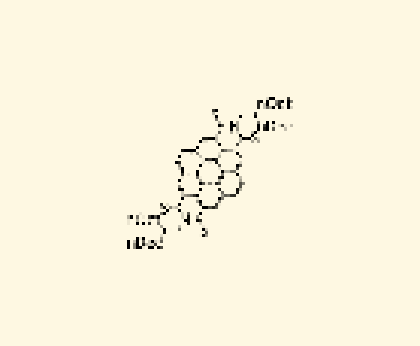 CCCCCCCCCCC(CCCCCCCC)Cn1c(=S)c2cc3ccc4cc5c(=S)n(CC(CCCCCCCC)CCCCCCCCCC)c(=S)c6cc7ccc8cc(c1=S)c2c1c3c4c(c56)c7c81